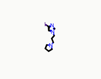 Ic1cn(CCCN2CCCC2)cn1